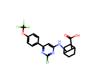 O=C(O)C1C2CCC(CC2)C1Nc1cc(-c2ccc(OC(F)(F)F)cc2)nc(Cl)n1